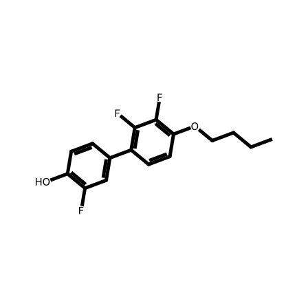 CCCCOc1ccc(-c2ccc(O)c(F)c2)c(F)c1F